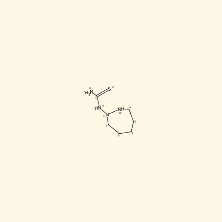 NC(=S)NN1CCCCCN1